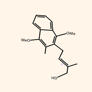 COc1c(C)c(C/C=C(\C)CO)c(OC)c2ccccc12